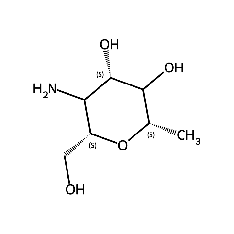 C[C@@H]1O[C@H](CO)C(N)[C@H](O)C1O